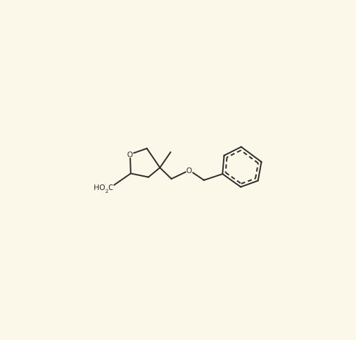 CC1(COCc2ccccc2)COC(C(=O)O)C1